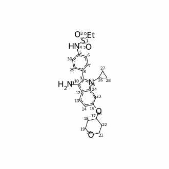 CCS(=O)(=O)Nc1ccc(-c2c(N)c3ccc(OC4CCOCC4)cc3n2C2CC2)cc1